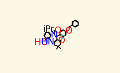 CC(C)C(=O)N1c2cccc(O)c2NC2=C(C(=O)CC(C)(C)C2)C1c1ccc(OCc2ccccc2)cc1F